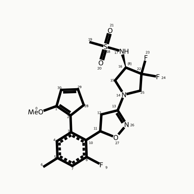 COC1=C(c2cc(C)cc(F)c2C2CC(N3C[C@@H](NS(C)(=O)=O)C(F)(F)C3)=NO2)CC=C1